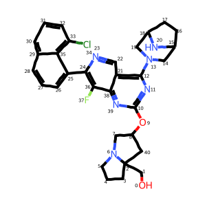 OCC12CCCN1CC(Oc1nc(N3CC4CCC(C3)N4)c3cnc(-c4cccc5cccc(Cl)c45)c(F)c3n1)C2